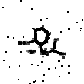 O=Cc1ccccc1[N+](=O)[O-].O=S([O-])O.[Na+]